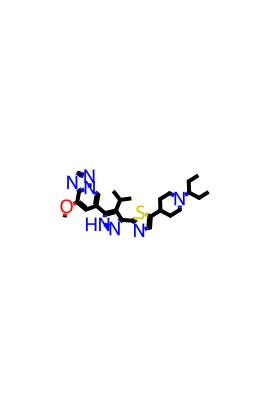 CCC(CC)N1CCC(c2cnc(-c3n[nH]c(-c4cc(OC)c5ncnn5c4)c3C(C)C)s2)CC1